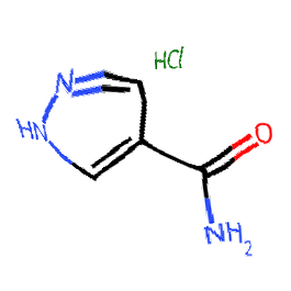 Cl.NC(=O)c1cn[nH]c1